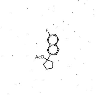 CC(=O)OC1(c2ccc3ccc(F)cc3c2)CCCC1